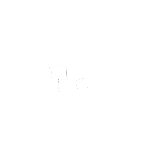 CC1CN(c2cc(Br)cnc2[N+](=O)[O-])C1